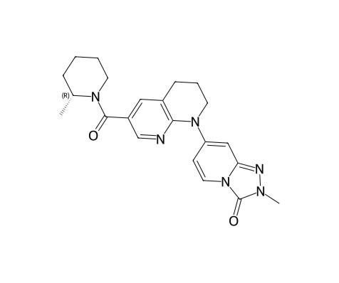 C[C@@H]1CCCCN1C(=O)c1cnc2c(c1)CCCN2c1ccn2c(=O)n(C)nc2c1